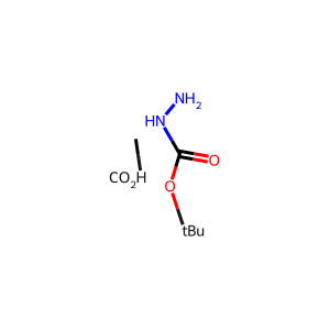 CC(=O)O.CC(C)(C)OC(=O)NN